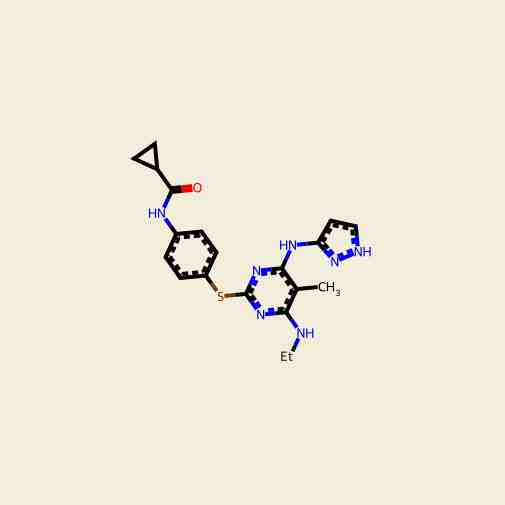 CCNc1nc(Sc2ccc(NC(=O)C3CC3)cc2)nc(Nc2cc[nH]n2)c1C